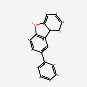 C1=CCC2C(=C1)Oc1ccc(-c3ccccc3)cc12